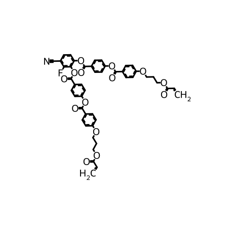 C=CC(=O)OCCCOc1ccc(C(=O)Oc2ccc(C(=O)Oc3ccc(C#N)c(F)c3OC(=O)c3ccc(OC(=O)c4ccc(OCCCOC(=O)C=C)cc4)cc3)cc2)cc1